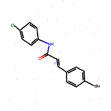 CC(C)(C)c1ccc(/C=C/C(=O)Nc2ccc(Cl)cc2)cc1